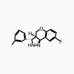 Cc1cccc([C@H]2NN=C3c4cc(F)ccc4OC[C@H]32)c1